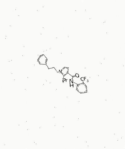 CC(C)c1c(C(=O)Nc2ccccc2C(F)(F)F)ccn1CCCC1=CC=C=C=C1